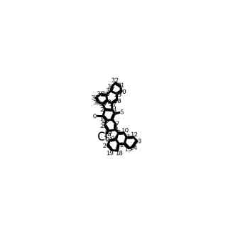 Cc1c2c(c(C)c3cc(-c4cc5ccccc5c5ccccc45)c(Cl)cc13)-c1cc3ccccc3c3cccc-2c13